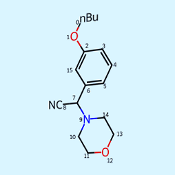 CCCCOc1cccc(C(C#N)N2CCOCC2)c1